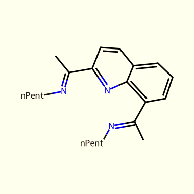 CCCCCN=C(C)c1ccc2cccc(C(C)=NCCCCC)c2n1